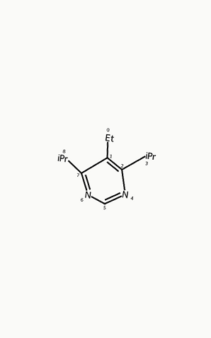 CCc1c(C(C)C)ncnc1C(C)C